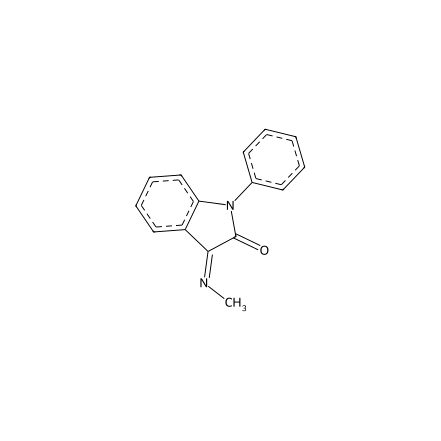 C/N=C1\C(=O)N(c2ccccc2)c2ccccc21